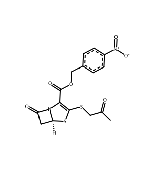 CC(=O)CSC1=C(C(=O)OCc2ccc([N+](=O)[O-])cc2)N2C(=O)C[C@@H]2S1